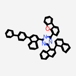 c1ccc(-c2ccc(-c3ccc(-c4nc(-c5c(-c6cccc7ccccc67)ccc6ccccc56)nc(-c5cccc6c5oc5ccccc56)n4)c4ccccc34)cc2)cc1